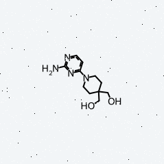 Nc1nccc(N2CCC(CO)(CO)CC2)n1